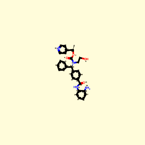 C[C@H](OC(=O)N(CCO)[C@@H](c1ccccc1)c1ccc(C(=O)Nc2ccccc2N)cc1)c1ccncc1